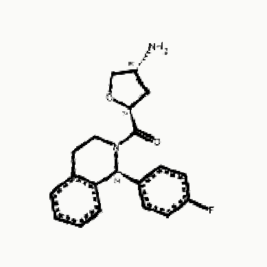 N[C@H]1CO[C@H](C(=O)N2CCc3ccccc3[C@@H]2c2ccc(F)cc2)C1